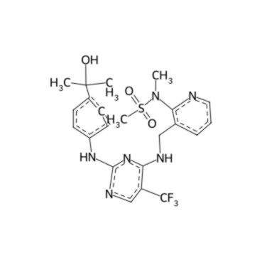 CN(c1ncccc1CNc1nc(Nc2ccc(C(C)(C)O)cc2)ncc1C(F)(F)F)S(C)(=O)=O